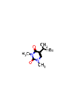 CCCCC(C)c1cn(C)c(=O)n(C)c1=O